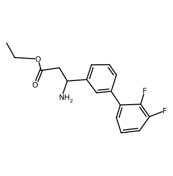 CCOC(=O)CC(N)c1cccc(-c2cccc(F)c2F)c1